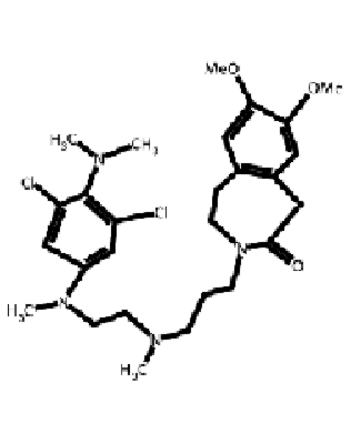 COc1cc2c(cc1OC)CC(=O)N(CCCN(C)CCN(C)c1cc(Cl)c(N(C)C)c(Cl)c1)CC2